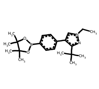 CCn1cc(-c2ccc(B3OC(C)(C)C(C)(C)O3)cc2)c(C(C)(C)C)n1